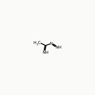 CC(=N)N=N